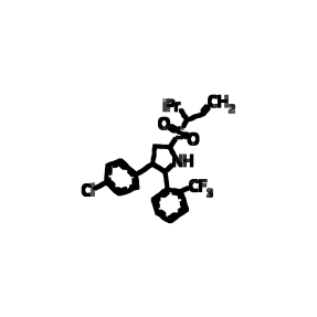 C=CC(C(C)C)S(=O)(=O)C1CC(c2ccc(Cl)cc2)C(c2ccccc2C(F)(F)F)N1